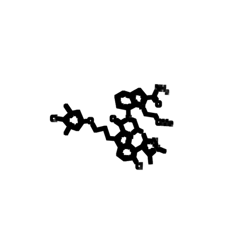 COCCn1c(C(N)=O)cc2cccc(N3CC(C)n4c(c(CCCOc5cc(C)c(Cl)c(C)c5)c5ccc(Cl)c(-c6c(C)nn(C)c6C)c54)C3=O)c21